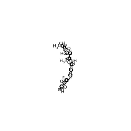 Cn1cc(-c2ccnc(N3CCn4c(cc5c4CC(C)(C)C5)C3=O)c2CO)cc(Nc2ccc(N3CCC(N4CCN(Cc5cc(F)c6c(c5)CN(C5CCC(=O)NC5=O)C6=O)CC4)CC3)cn2)c1=O